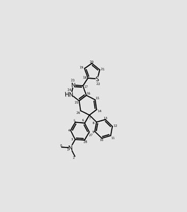 CN(C)c1ccc(C2(c3ccccc3)C=Cc3c(-c4cccs4)n[nH]c3C2)cc1